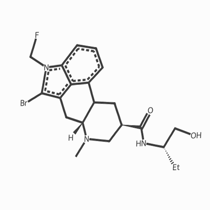 CC[C@@H](CO)NC(=O)[C@@H]1CC2c3cccc4c3c(c(Br)n4CF)C[C@H]2N(C)C1